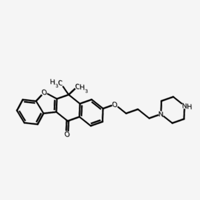 CC1(C)c2cc(OCCCN3CCNCC3)ccc2C(=O)c2c1oc1ccccc21